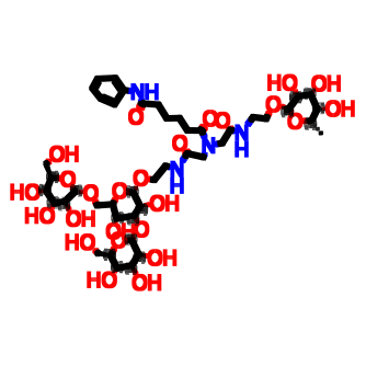 C[C@@H]1O[C@@H](OCCNC(=O)CN(CC(=O)NCCO[C@H]2OC(CO[C@H]3O[C@H](CO)[C@@H](O)[C@H](O)[C@@H]3O)[C@@H](O)[C@H](O[C@H]3O[C@H](CO)[C@@H](O)[C@H](O)[C@@H]3O)[C@@H]2O)C(=O)CCCCC(=O)Nc2ccccc2)[C@@H](O)[C@H](O)[C@@H]1O